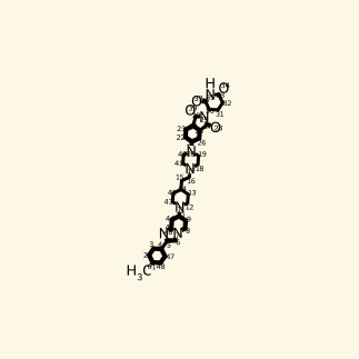 Cc1ccc(-c2cn3ccc(N4CCC(CCN5CCN(c6ccc7c(c6)C(=O)N(C6CCC(=O)NC6=O)C7=O)CC5)CC4)cc3n2)cc1